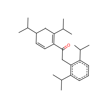 CC(C)C1=C(C(=O)Cc2c(C(C)C)cccc2C(C)C)C=CC(C(C)C)[CH]1